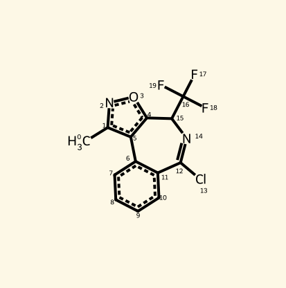 Cc1noc2c1-c1ccccc1C(Cl)=NC2C(F)(F)F